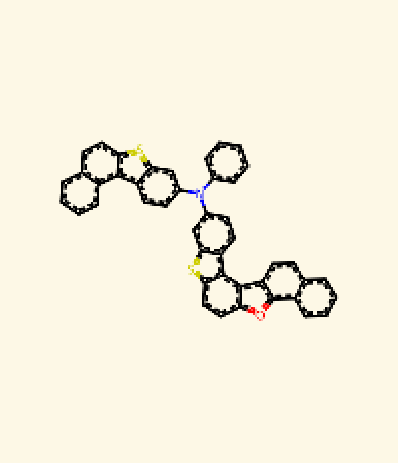 c1ccc(N(c2ccc3c(c2)sc2ccc4ccccc4c23)c2ccc3c(c2)sc2ccc4oc5c6ccccc6ccc5c4c23)cc1